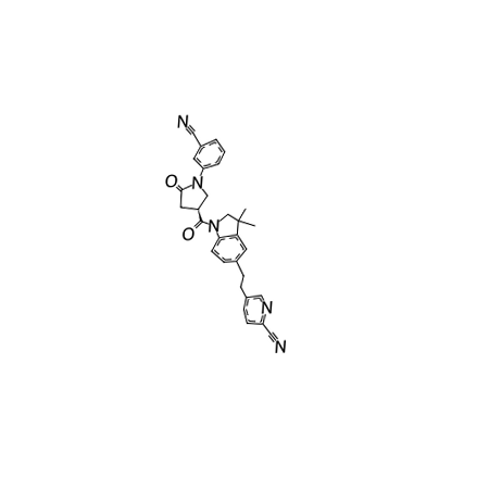 CC1(C)CN(C(=O)[C@H]2CC(=O)N(c3cccc(C#N)c3)C2)c2ccc(CCc3ccc(C#N)nc3)cc21